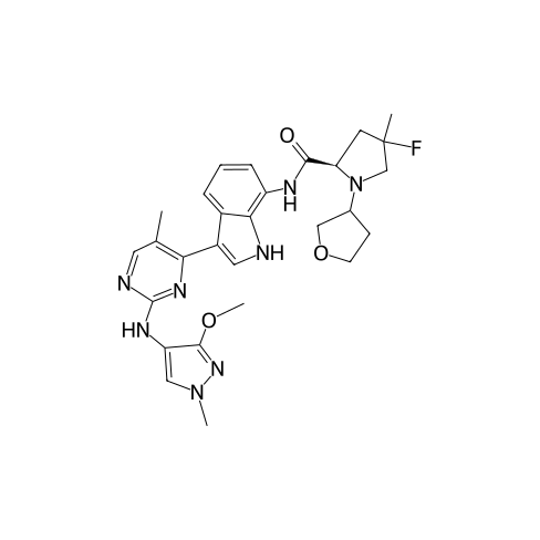 COc1nn(C)cc1Nc1ncc(C)c(-c2c[nH]c3c(NC(=O)[C@H]4CC(C)(F)CN4C4CCOC4)cccc23)n1